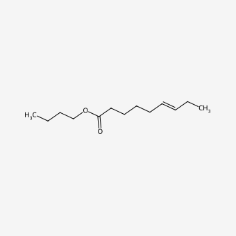 CC/C=C/CCCCC(=O)OCCCC